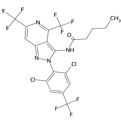 CCCCC(=O)Nc1c2c(C(F)(F)F)nc(C(F)(F)F)cc2nn1-c1c(Cl)cc(C(F)(F)F)cc1Cl